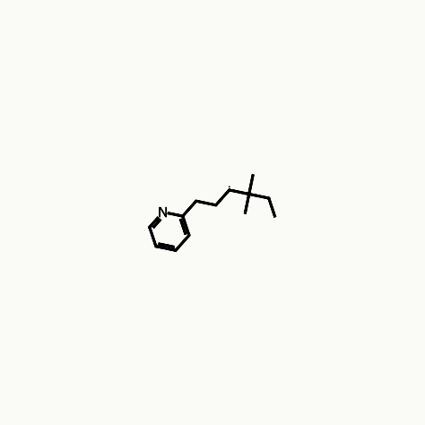 CCC(C)(C)[CH]CCc1ccccn1